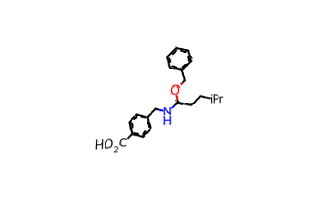 CC(C)CCC(NCc1ccc(C(=O)O)cc1)OCc1ccccc1